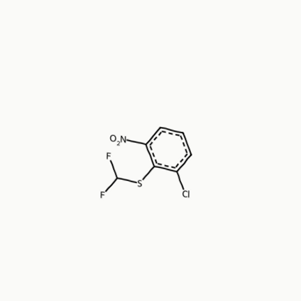 O=[N+]([O-])c1cccc(Cl)c1SC(F)F